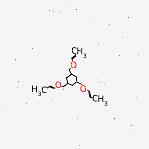 CC=COCC1CC(COC=CC)CC(COC=CC)C1